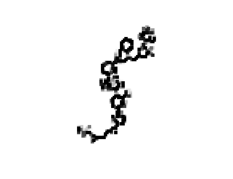 CC(C)(C)OC(=O)N1CC(CC(CNc2cccc(S(=O)(=O)NC(=O)c3ccc(-n4ccc(OCCC5CC5C(F)(F)F)n4)nc3Cl)n2)c2ccccc2)CC1(C)C